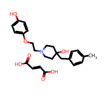 Cc1ccc(CC2(O)CCN(CCOc3ccc(O)cc3)CC2)cc1.O=C(O)C=CC(=O)O